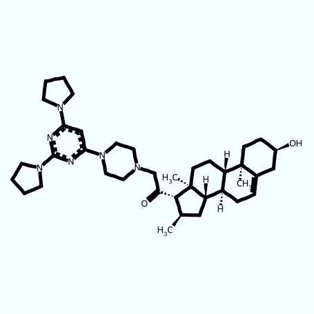 C[C@@H]1C[C@H]2[C@@H]3CC=C4C[C@H](O)CC[C@]4(C)[C@H]3CC[C@]2(C)[C@H]1C(=O)CN1CCN(c2cc(N3CCCC3)nc(N3CCCC3)n2)CC1